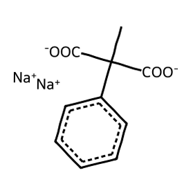 CC(C(=O)[O-])(C(=O)[O-])c1ccccc1.[Na+].[Na+]